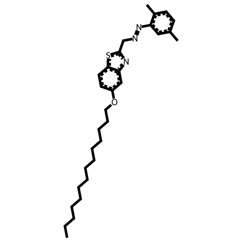 CCCCCCCCCCCCCCOc1ccc2sc(CN=Nc3cc(C)ccc3C)nc2c1